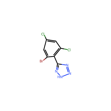 Clc1cc(Cl)c(-c2nn[nH]n2)c(Br)c1